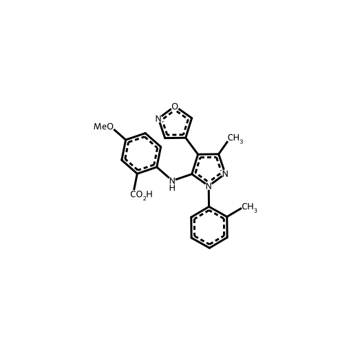 COc1ccc(Nc2c(-c3cnoc3)c(C)nn2-c2ccccc2C)c(C(=O)O)c1